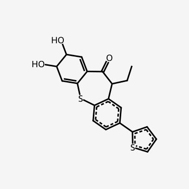 CCC1C(=O)C2=CC(O)C(O)C=C2Sc2ccc(-c3cccs3)cc21